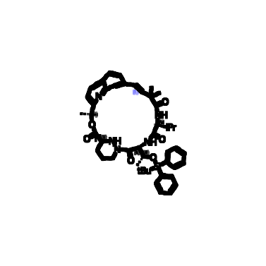 CC(C)[C@@H]1NC(=O)C(C)(C)/C=C/c2ccc3ccc(nc3c2)[C@@H](C)OC(=O)[C@@H]2CCCN(N2)C(=O)[C@H]([C@@H](C)O[Si](c2ccccc2)(c2ccccc2)C(C)(C)C)NC1=O